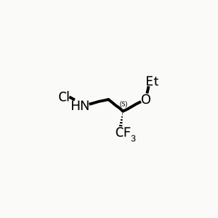 CCO[C@@H](CNCl)C(F)(F)F